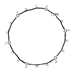 C1COCCOCCONCOCCOCCO1